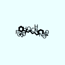 CC(C)(CC(O)(CC1Cc2nc(S(C)(=O)=O)ccc2N1)C(F)(F)F)c1cccc(F)c1S(C)(=O)=O